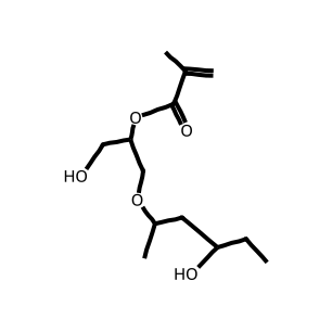 C=C(C)C(=O)OC(CO)COC(C)CC(O)CC